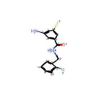 Nc1cc([S])cc(C(=O)NCc2ccccc2Cl)c1